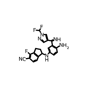 N#Cc1ccc2c(c1F)CCC2Nc1ccc(N)c(C(=N)c2cnn(C(F)F)c2)c1